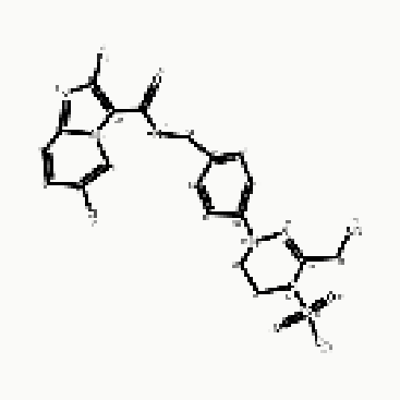 CCc1nc2ccc(Cl)cn2c1C(=O)NCc1ccc(N2CCN(S(=O)(=O)C(F)(F)F)C(CC#N)=N2)cc1